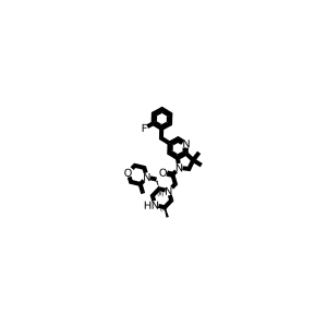 CC1COCCN1C[C@H]1CN[C@H](C)CN1CC(=O)N1CC(C)(C)c2ncc(Cc3ccccc3F)cc21